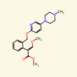 CO/C=C(/C(=O)OC)c1ccccc1COc1ccc(N2CCN(C)CC2)cn1